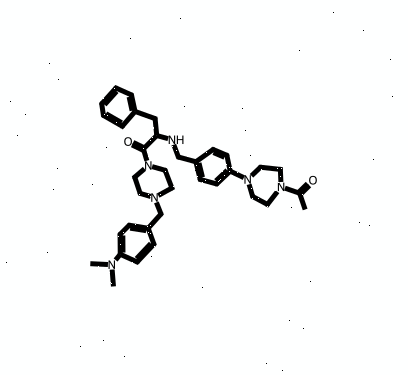 CC(=O)N1CCN(c2ccc(CNC(Cc3ccccc3)C(=O)N3CCN(Cc4ccc(N(C)C)cc4)CC3)cc2)CC1